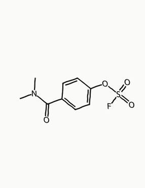 CN(C)C(=O)c1ccc(OS(=O)(=O)F)cc1